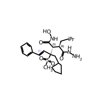 CC(C)C[C@@H](C(=O)NN)[C@@H](C(=O)NO)C(/C=C/c1ccccc1)(CC1CCCC1)S(C)(=O)=O